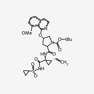 C=C[C@@H]1C[C@]1(NC(=O)C1C[C@@H](Oc2nccc3cccc(OC)c23)CN1C(=O)OC(C)(C)C)C(=O)NS(=O)(=O)C1CC1